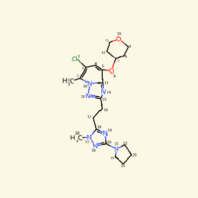 Cc1c(Cl)cc(OC2CCOCC2)c2nc(CCc3nc(N4CCCC4)nn3C)nn12